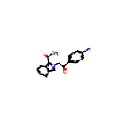 O=CC(=O)c1c2ccccc2cn1CC(=O)c1ccc(I)cc1